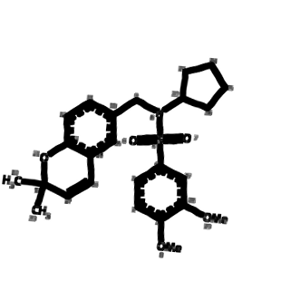 COc1ccc(S(=O)(=O)N(Cc2ccc3c(c2)C=CC(C)(C)O3)C2CCCC2)cc1OC